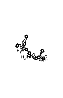 Cn1cc(C(=O)Nc2ccc3c(F)c(N4CC(=O)NS4(=O)=O)c(OCc4ccccc4)cc3c2)c2ccc(-c3ccc4c(c3)n(C)c(=O)n4-c3ccc(OCc4ccccc4)nc3OCc3ccccc3)cc21